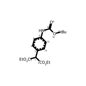 CCOC(=O)C(C(=O)OCC)c1ccc(NC(=O)OC(C)(C)C)cc1